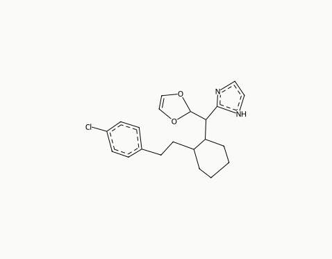 Clc1ccc(CCC2CCCCC2C(c2ncc[nH]2)C2OC=CO2)cc1